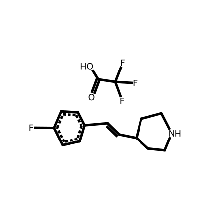 Fc1ccc(C=CC2CCNCC2)cc1.O=C(O)C(F)(F)F